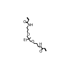 C=CC(=O)NCCCOCC(C)(CC)COCCCNC(=O)C=C